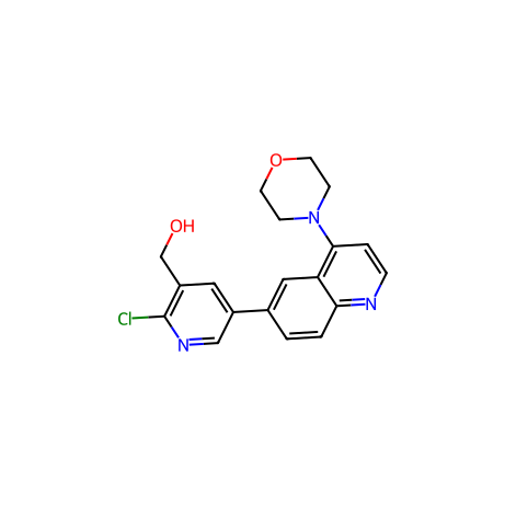 OCc1cc(-c2ccc3nccc(N4CCOCC4)c3c2)cnc1Cl